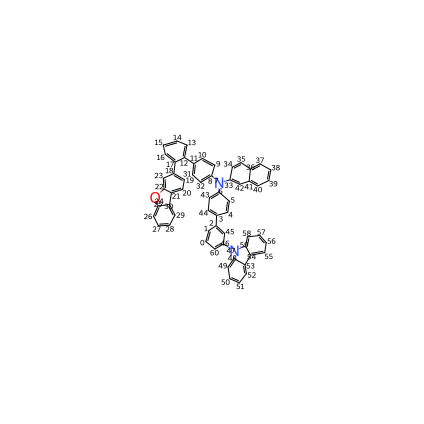 c1cc(-c2ccc(N(c3ccc(-c4ccccc4-c4ccc5c(c4)oc4ccccc45)cc3)c3ccc4ccccc4c3)cc2)cc(-n2c3ccccc3c3ccccc32)c1